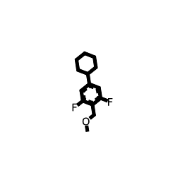 COCc1c(F)cc(C2CCCCC2)cc1F